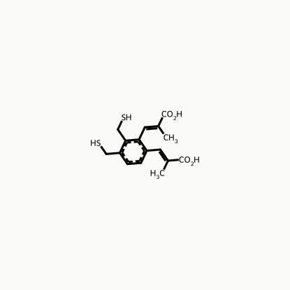 CC(=Cc1ccc(CS)c(CS)c1C=C(C)C(=O)O)C(=O)O